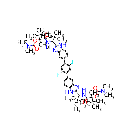 CN(C)C(=O)O[C@@](C)(C(=O)NC(c1nc2cc(-c3cc(F)c(-c4ccc5[nH]c([C@@H](NC(=O)[C@](C)(OC(=O)N(C)C)C(C)(C)C)C(C)(C)C)nc5c4)cc3F)ccc2[nH]1)C(C)(C)C)C(C)(C)C